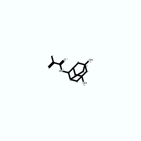 C=C(C)C(=O)NC1C2CC3(O)CC1CC(O)(C2)C3